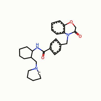 O=C(NC1CCCCC1CN1CCCCC1)c1ccc(CN2C(=O)COc3ccccc32)cc1